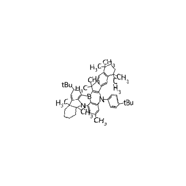 Cc1cc2c3c(c1)N1c4c(cc(C(C)(C)C)cc4C4(C)CCCCC14C)B3C1=C(c3cc4c(cc3C1(C)C)C(C)(C)CCC4(C)C)N2c1ccc(C(C)(C)C)cc1